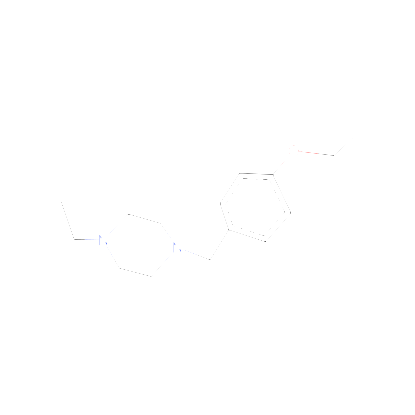 CCOc1ccc(CN2CCN(CC)CC2)cc1